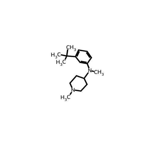 CN1CCC(N(C)c2cccc(C(C)(C)C)c2)CC1